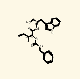 CC[C@H](C)[C@H](NC(=O)NCc1ccccc1)C(=O)N[C@H](CO)Cc1c[nH]c2ccccc12